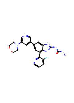 CNC(=O)Nc1nc2cc(-c3cncc(N4CCOCC4)c3)cc(-c3ncccc3F)c2[nH]1